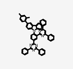 Cc1ccc(-c2ccc3c(c2)c2ccccc2n3-c2ccc(-c3nc(-c4ccccc4)nc(-c4ccccc4)n3)cc2-c2nc(-c3ccccc3)cc(-c3ccccc3)n2)c(C)c1